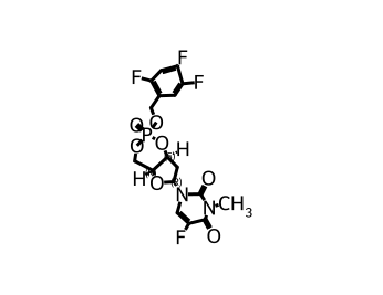 Cn1c(=O)c(F)cn([C@H]2C[C@@H]3OP(=O)(OCc4cc(F)c(F)cc4F)OC[C@H]3O2)c1=O